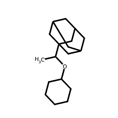 CC(OC1CCCCC1)C12CC3CC(CC(C3)C1)C2